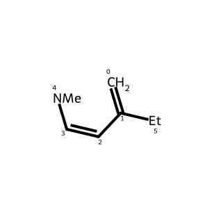 C=C(/C=C\NC)CC